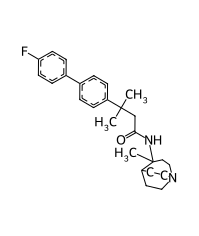 CC(C)(CC(=O)NC1(C)CCN2CCC1CC2)c1ccc(-c2ccc(F)cc2)cc1